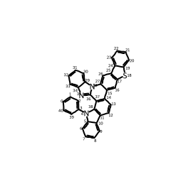 c1ccc(-n2c3ccccc3c3ccc4c5cc6sc7ccccc7c6cc5n5c6ccccc6nc5c4c32)cc1